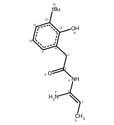 CC=C(N)NC(=O)Cc1cccc(C(C)(C)C)c1O